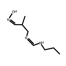 CCCN/C=N\CC(C)/C=N\O